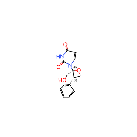 O=c1ccn([C@@]2(CO)OC[C@@H]2c2ccccc2)c(=O)[nH]1